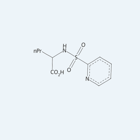 CCCC(NS(=O)(=O)c1ccccn1)C(=O)O